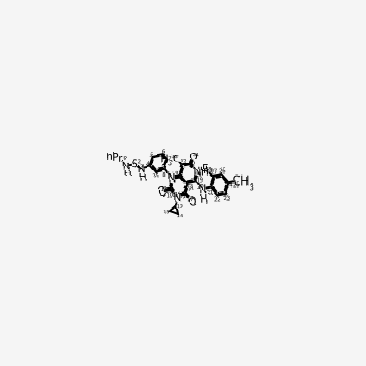 CCCNSNc1cccc(-n2c(=O)n(C3CC3)c(=O)c3c(Nc4ccc(C)cc4F)[nH]c(=O)c(C)c32)c1